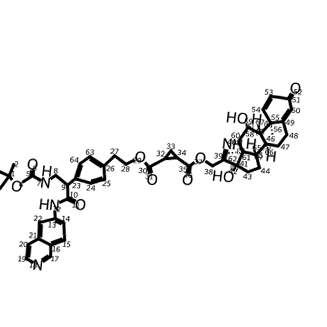 CC(C)(C)OC(=O)NCC(C(=O)Nc1ccc2cnccc2c1)c1ccc(CCOC(=O)C2CC2C(=O)OCC(=N)[C@@]2(O)CC[C@H]3[C@@H]4CCC5=CC(=O)C=C[C@]5(C)[C@H]4[C@@H](O)C[C@@]32C)cc1